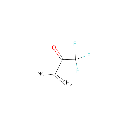 C=C(C#N)C(=O)C(F)(F)F